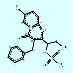 CCC(OS(C)(=O)=O)c1nc2ccc(Cl)cn2c(=O)c1Cc1ccccc1